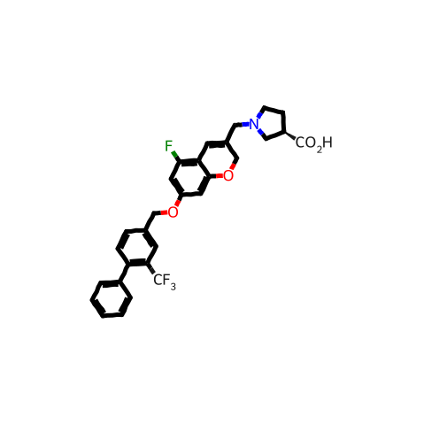 O=C(O)[C@@H]1CCN(CC2=Cc3c(F)cc(OCc4ccc(-c5ccccc5)c(C(F)(F)F)c4)cc3OC2)C1